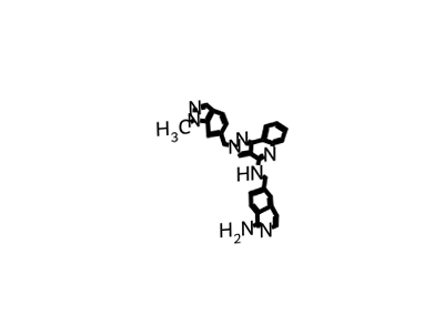 Cn1ncc2ccc(Cn3cc4c(NCc5ccc6c(N)nccc6c5)nc5ccccc5c4n3)cc21